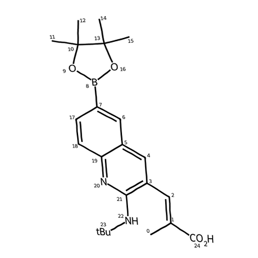 CC(=Cc1cc2cc(B3OC(C)(C)C(C)(C)O3)ccc2nc1NC(C)(C)C)C(=O)O